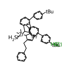 Cc1ccc(-c2ccc(C(C)(C)C)cc2)c2c1[CH]([Zr]([CH3])([CH3])(=[SiH2])[CH]1C(C(C)C)=Cc3c(-c4ccc(C(C)(C)C)cc4)cccc31)C(CCc1ccccc1)=C2.Cl.Cl